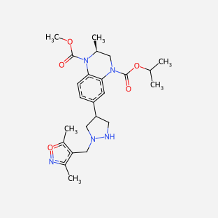 COC(=O)N1c2ccc(C3CNN(Cc4c(C)noc4C)C3)cc2N(C(=O)OC(C)C)C[C@@H]1C